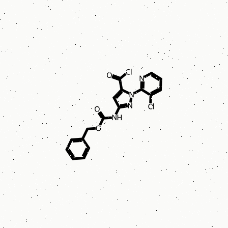 O=C(Nc1cc(C(=O)Cl)n(-c2ncccc2Cl)n1)OCc1ccccc1